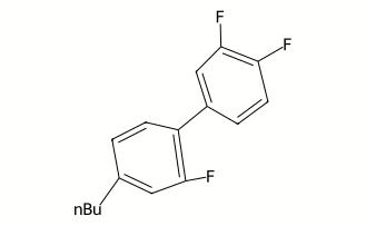 CCCCc1ccc(-c2ccc(F)c(F)c2)c(F)c1